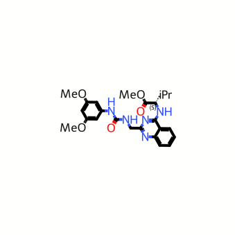 COC(=O)[C@@H](Nc1nc(CNC(=O)Nc2cc(OC)cc(OC)c2)nc2ccccc12)C(C)C